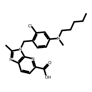 CCCCCN(C)c1ccc(Cn2c(C)nc3ccc(C(=O)O)nc32)c(Cl)c1